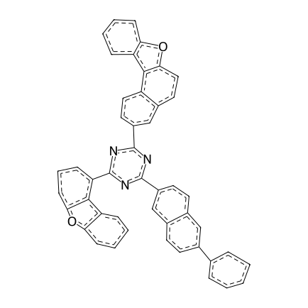 c1ccc(-c2ccc3cc(-c4nc(-c5ccc6c(ccc7oc8ccccc8c76)c5)nc(-c5cccc6oc7ccccc7c56)n4)ccc3c2)cc1